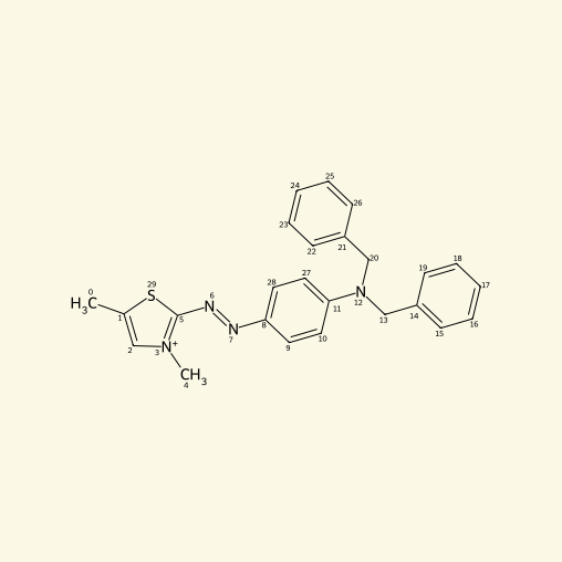 Cc1c[n+](C)c(N=Nc2ccc(N(Cc3ccccc3)Cc3ccccc3)cc2)s1